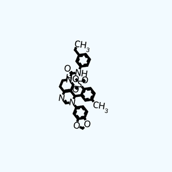 CCc1cccc(NC(=O)N2CCC3=C(C2)C(c2cc(C)ccc2S(=O)(=O)O)N(c2ccc4c(c2)OCO4)C=N3)c1